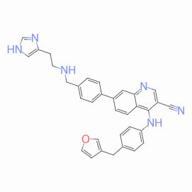 N#Cc1cnc2cc(-c3ccc(CNCCc4c[nH]cn4)cc3)ccc2c1Nc1ccc(Cc2ccoc2)cc1